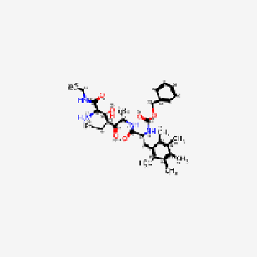 CCCC[C@H](NC(=O)[C@H](Cc1c(C)c(C)c(C)c(C)c1C)NC(=O)OCc1ccccc1)C(=O)[C@@H](CC(C)C)[C@H](O)C(N)C(=O)NCC(C)CC